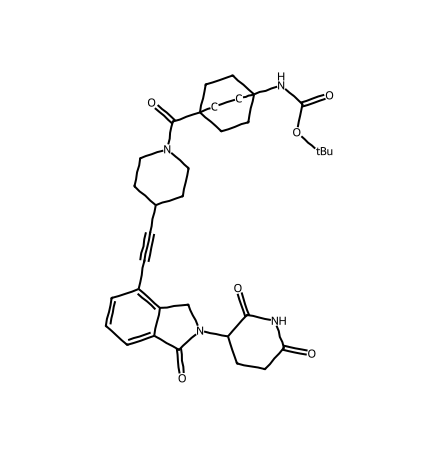 CC(C)(C)OC(=O)NC12CCC(C(=O)N3CCC(C#Cc4cccc5c4CN(C4CCC(=O)NC4=O)C5=O)CC3)(CC1)CC2